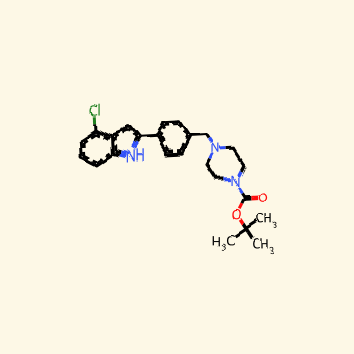 CC(C)(C)OC(=O)N1CCN(Cc2ccc(-c3cc4c(Cl)cccc4[nH]3)cc2)CC1